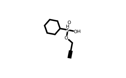 C#CCO[SH](=O)(O)C1CCCCC1